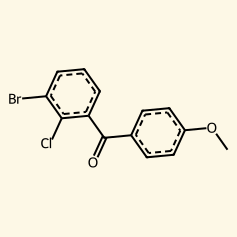 COc1ccc(C(=O)c2cccc(Br)c2Cl)cc1